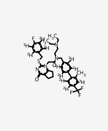 [2H]c1c([2H])c(CSc2nc(=O)c3c(n2CC(=O)N(CCN(CC)CC)Cc2c([2H])c([2H])c(-c4c([2H])c([2H])c(C(F)(F)F)c([2H])c4C)c([2H])c2[2H])CCC3)c([2H])c([2H])c1F